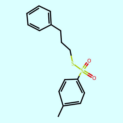 Cc1ccc(S(=O)(=O)SCCCc2ccccc2)cc1